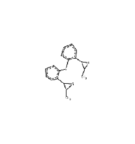 CC1SC1c1ccccc1Sc1ccccc1C1SC1C